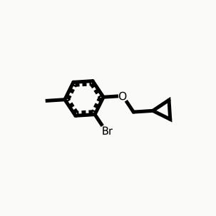 Cc1ccc(OCC2CC2)c(Br)c1